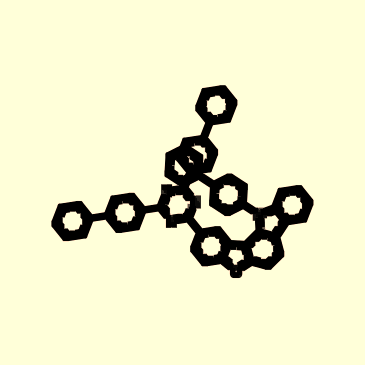 c1ccc(-c2ccc(-c3nc(-c4ccc(-c5ccccc5)cc4)nc(-c4ccc5oc6ccc7c8ccccc8n(-c8ccc(-c9ccccc9)cc8)c7c6c5c4)n3)cc2)cc1